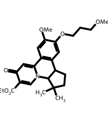 CCOC(=O)c1cn2c(cc1=O)-c1cc(OC)c(OCCCOC)cc1C1CCC(C)(C)C12